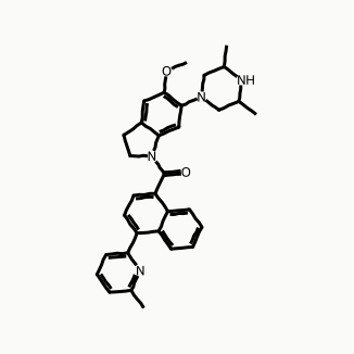 COc1cc2c(cc1N1CC(C)NC(C)C1)N(C(=O)c1ccc(-c3cccc(C)n3)c3ccccc13)CC2